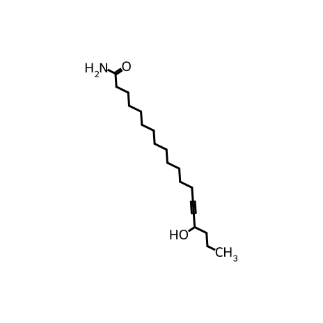 CCCC(O)C#CCCCCCCCCCCCCC(N)=O